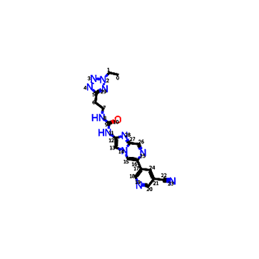 CCn1nnc(CCNC(=O)Nc2cn3cc(-c4cncc(C#N)c4)ncc3n2)n1